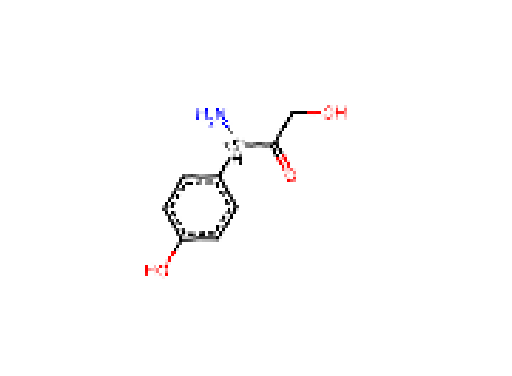 N[Si@H](C(=O)CO)c1ccc(O)cc1